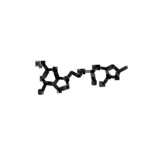 CCn1nc(C)cc1NC(=O)NCCn1cnc2c(Cl)nc(N)nc21